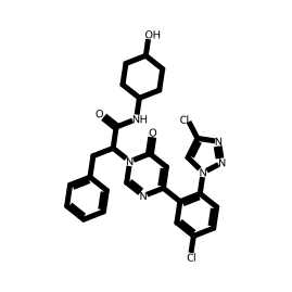 O=C(NC1CCC(O)CC1)C(Cc1ccccc1)n1cnc(-c2cc(Cl)ccc2-n2cc(Cl)nn2)cc1=O